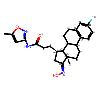 Cc1cc(NC(=O)CC[C@@H]2C/C(=N\O)[C@@]3(C)CCC4c5ccc(F)cc5CCC4C23)no1